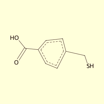 O=C(O)c1ccc(CS)cc1